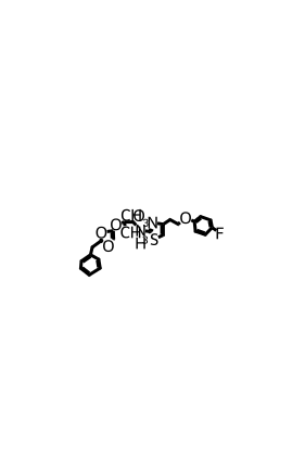 CC(C)(OC1=COC(Cc2ccccc2)O1)C(=O)Nc1nc(CCOc2ccc(F)cc2)cs1